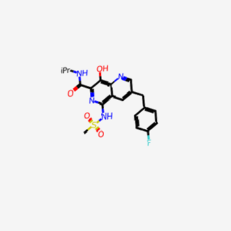 CC(C)NC(=O)c1nc(NS(C)(=O)=O)c2cc(Cc3ccc(F)cc3)cnc2c1O